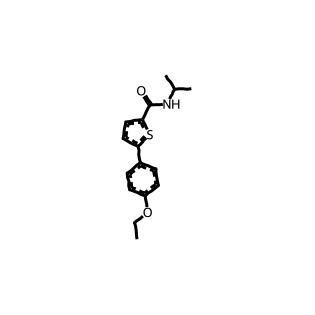 CCOc1ccc(-c2ccc(C(=O)NC(C)C)s2)cc1